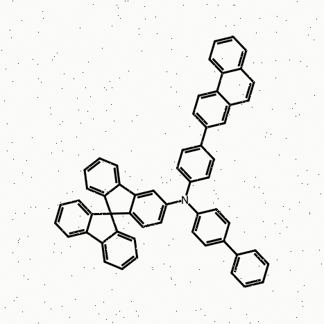 c1ccc(-c2ccc(N(c3ccc(-c4ccc5c(ccc6ccccc65)c4)cc3)c3ccc4c(c3)-c3ccccc3C43c4ccccc4-c4ccccc43)cc2)cc1